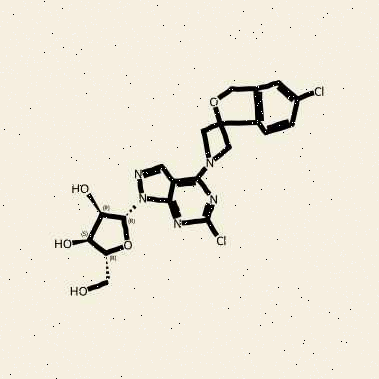 OC[C@H]1O[C@@H](n2ncc3c(N4CC5(C4)OCc4cc(Cl)ccc45)nc(Cl)nc32)[C@H](O)[C@@H]1O